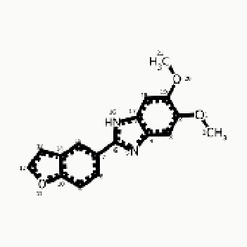 COc1cc2nc(-c3ccc4occc4c3)[nH]c2cc1OC